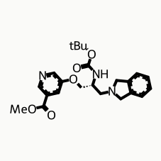 COC(=O)c1cncc(OC[C@@H](CN2Cc3ccccc3C2)NC(=O)OC(C)(C)C)c1